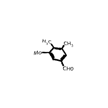 Cc1cc(C=O)c[c]([Mo])c1C